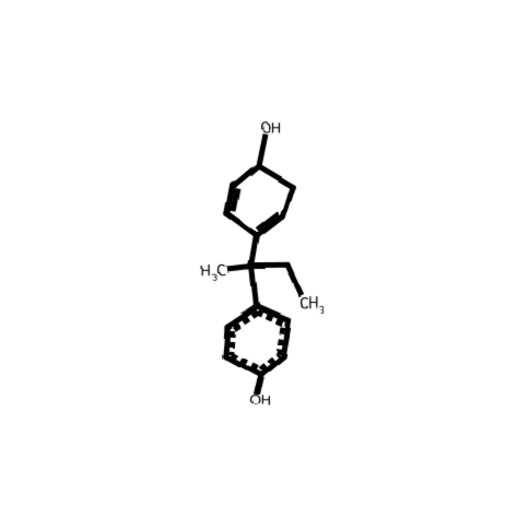 CCC(C)(C1=CCC(O)C=C1)c1ccc(O)cc1